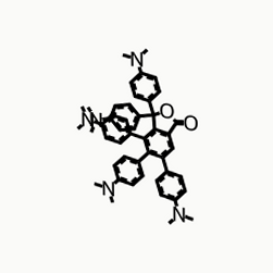 CN(C)c1ccc(-c2cc3c(c(-c4ccc(N(C)C)cc4)c2-c2ccc(N(C)C)cc2)C(c2ccc(N(C)C)cc2)(c2ccc(N(C)C)cc2)OC3=O)cc1